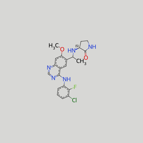 COc1cc2ncnc(Nc3cccc(Cl)c3F)c2cc1C(C)N[C@H]1CCNC1=O